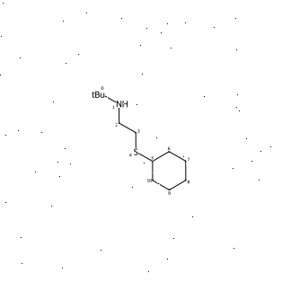 CC(C)(C)NCCSC1CCCCC1